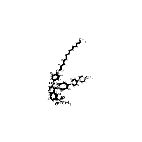 CCCCCCCCCCCCCCOc1ccc(S(=O)(=O)c2cnc3ccc(S(C)(=O)=O)cc3c2N2CCC(N3CCC(N4CCN(C)CC4)CC3)CC2)cc1F